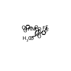 COCCn1cc(C(=O)NCc2ccc3c(c2)OCO3)c(=O)n(-c2cccc(C(F)(F)F)c2)c1=O